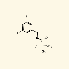 CC(C)(C)[S@@+]([O-])N=Cc1cc(F)cc(F)c1